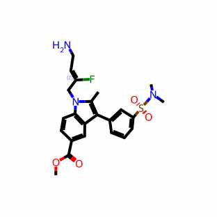 COC(=O)c1ccc2c(c1)c(-c1cccc(S(=O)(=O)N(C)C)c1)c(C)n2C/C(F)=C/CN